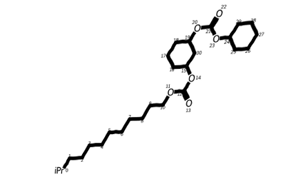 CC(C)CCCCCCCCCCOC(=O)OC1CCCC(OC(=O)OC2CCCCC2)C1